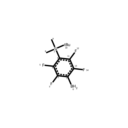 Bc1c(F)c(F)c([Si](C)(C)C(C)(C)C)c(F)c1F